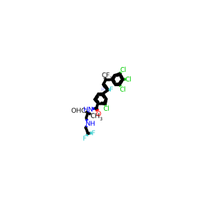 CC(C=O)(CNCC(F)F)NC(=O)c1ccc(/C(F)=C/C(c2cc(Cl)c(Cl)c(Cl)c2)C(F)(F)F)cc1Cl